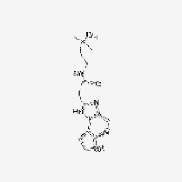 CC(C)(O)CCNC(=O)Cc1nc2cnc3[nH]ccc3c2[nH]1